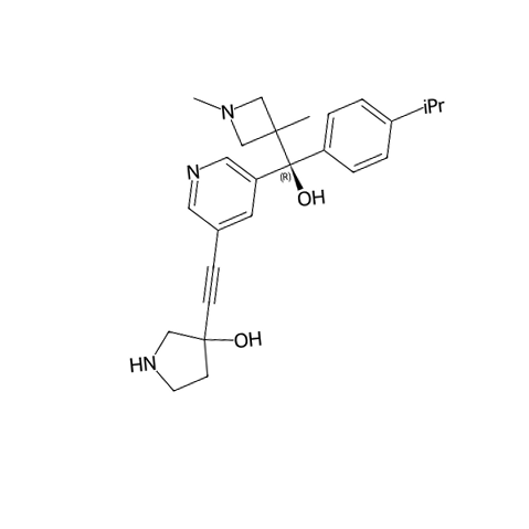 CC(C)c1ccc([C@](O)(c2cncc(C#CC3(O)CCNC3)c2)C2(C)CN(C)C2)cc1